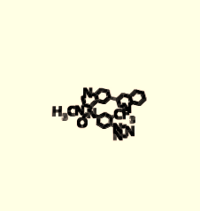 Cn1c(=O)n(-c2ccc(-n3cncn3)c(C(F)(F)F)c2)c2c3cc(-c4cnc5ccccc5c4)ccc3ncc21